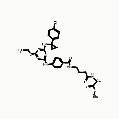 C[C@@H](NC(=O)CCCNC(=O)c1ccc(Nc2nc(NC3(c4ccc(Cl)cc4)CC3)nc(OCC(F)(F)F)n2)cc1)C(=O)OC(C)(C)C